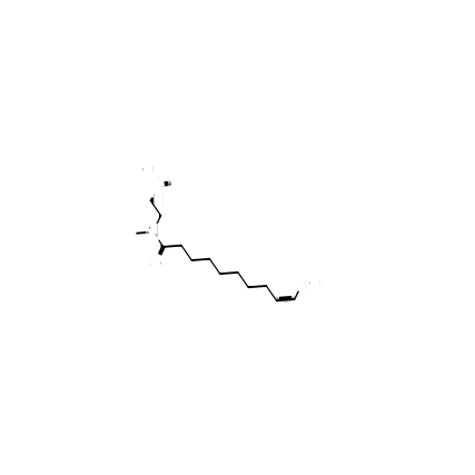 CCCCCCCC/C=C\CCCCCCCC(=O)N(C)CC[SH](=O)=O